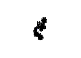 O=c1c(NC/C=C\COc2cccc(CN3CCCCC3)c2)c(NCc2ccncc2)c1=O